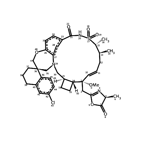 CO[C@@]1(CC2=N[C@@H](C)C(=O)O2)/C=C/C[C@H](C)[C@@H](C)S(=O)(=O)NC(=O)c2ccc3c(c2)N(C[C@@H]2CC[C@H]21)C[C@@]1(CCCc2cc(Cl)ccc21)CO3